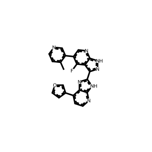 Cc1ccncc1-c1cnc2[nH]nc(-c3nc4c(-c5ccoc5)ccnc4[nH]3)c2c1F